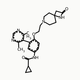 Cc1ncnc(C)c1-c1cc(NC(=O)C2CC2)ccc1OCCN1CCC2(CC1)CC(=O)N2